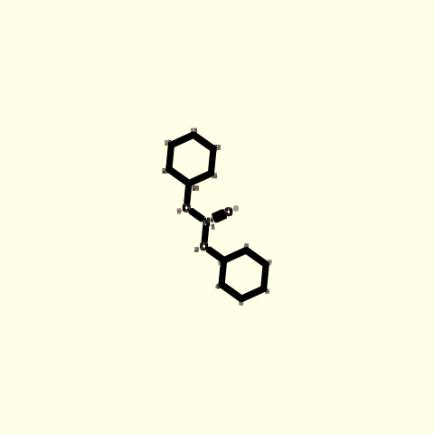 O=[N+](OC1CCCCC1)OC1CCCCC1